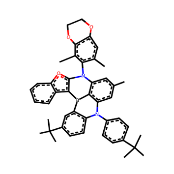 Cc1cc2c3c(c1)N(c1c(C)cc4c(c1C)OCCO4)c1oc4ccccc4c1B3c1cc(C(C)(C)C)ccc1N2c1ccc(C(C)(C)C)cc1